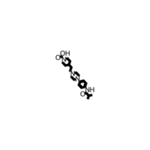 CC(C)C(=O)Nc1ccc(N2CCN(CCC3CCN(C(=O)O)CC3)CC2)cc1